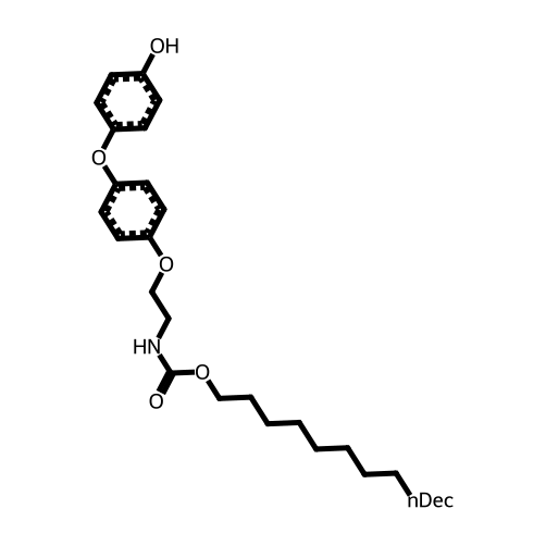 CCCCCCCCCCCCCCCCCCOC(=O)NCCOc1ccc(Oc2ccc(O)cc2)cc1